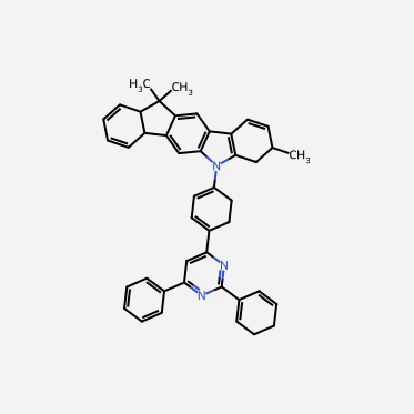 CC1C=Cc2c(n(C3=CC=C(c4cc(-c5ccccc5)nc(C5=CCCC=C5)n4)CC3)c3cc4c(cc23)C(C)(C)C2C=CC=CC42)C1